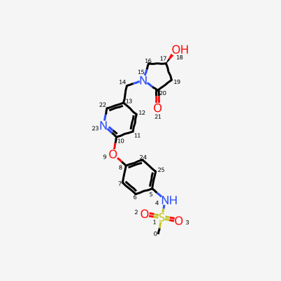 CS(=O)(=O)Nc1ccc(Oc2ccc(CN3C[C@@H](O)CC3=O)cn2)cc1